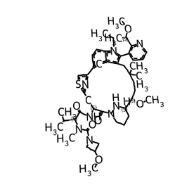 CCn1c(-c2cccnc2[C@H](C)OC)c2c3cc(ccc31)-c1csc(n1)C[C@H](NC(=O)[C@H](C(C)C)N(C)C(=O)N1CC(OC)C1)C(=O)N1CCC[C@H](N1)[C@@H](OC)CCC(C)(C)C2